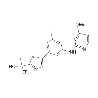 COc1ccnc(Nc2cc(C)cc(-c3cnc(C(C)(O)C(F)(F)F)s3)c2)n1